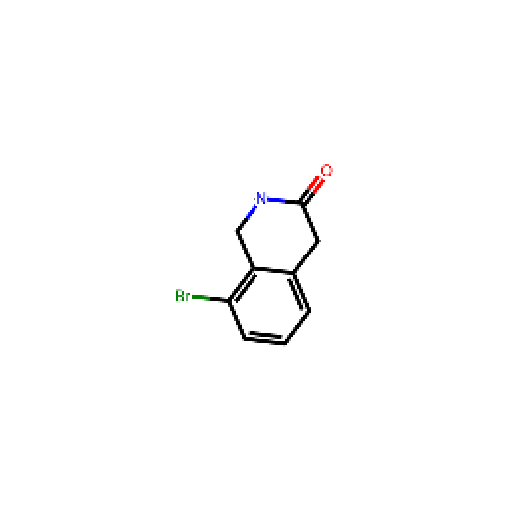 O=C1Cc2cccc(Br)c2C[N]1